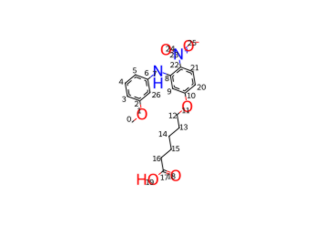 COc1cccc(Nc2cc(OCCCCCC(=O)O)ccc2[N+](=O)[O-])c1